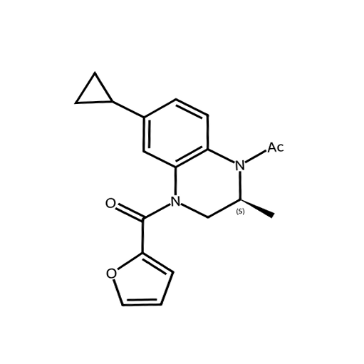 CC(=O)N1c2ccc(C3CC3)cc2N(C(=O)c2ccco2)C[C@@H]1C